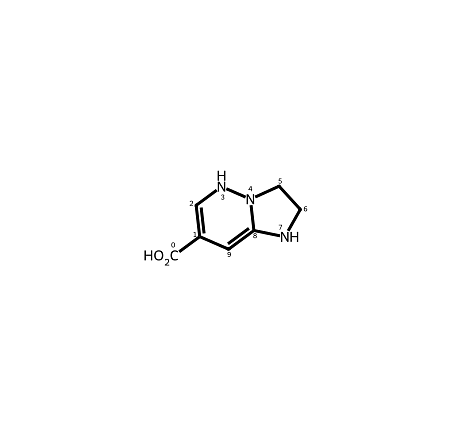 O=C(O)C1=CNN2CCNC2=C1